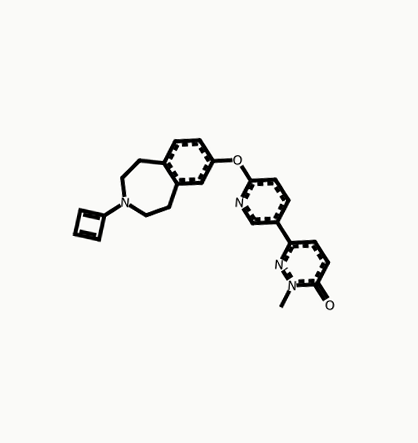 Cn1nc(-c2ccc(Oc3ccc4c(c3)CCN(C3=CC=C3)CC4)nc2)ccc1=O